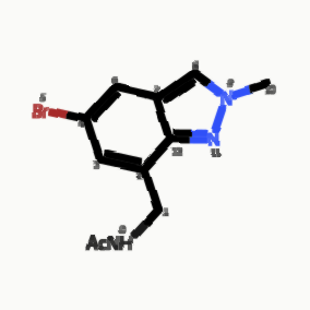 CC(=O)NCc1cc(Br)cc2cn(C)nc12